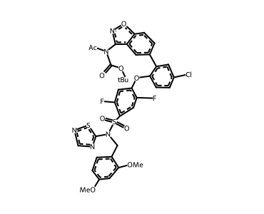 COc1ccc(CN(c2ncns2)S(=O)(=O)c2cc(F)c(Oc3ccc(Cl)cc3-c3ccc4onc(N(C(C)=O)C(=O)OC(C)(C)C)c4c3)cc2F)c(OC)c1